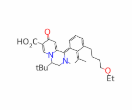 CCOCCCCc1ccc/c(=C2\c3cc(=O)c(C(=O)O)cn3C(C(C)(C)C)CN2C)c1=C(C)C